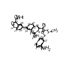 CCCN(OCc1cccc(N)c1)C(=O)C1=Cc2ccc(-c3ccc4c(c3)C(O)OC4)cc2N=C(N)C1